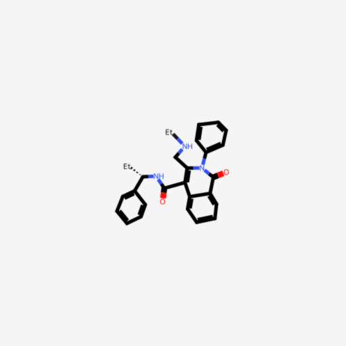 CCNCc1c(C(=O)N[C@@H](CC)c2ccccc2)c2ccccc2c(=O)n1-c1ccccc1